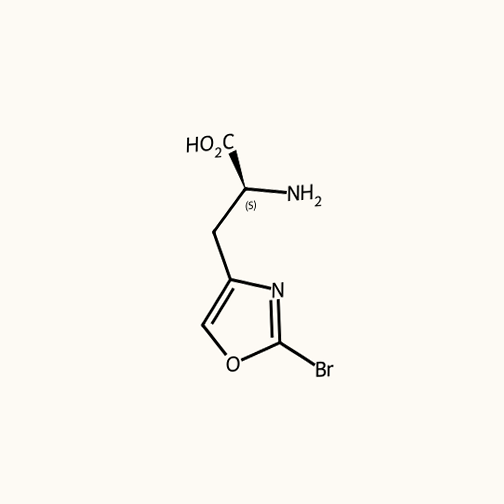 N[C@@H](Cc1coc(Br)n1)C(=O)O